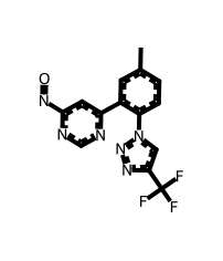 Cc1ccc(-n2cc(C(F)(F)F)nn2)c(-c2cc(N=O)ncn2)c1